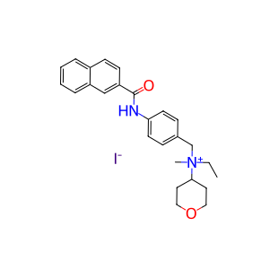 CC[N+](C)(Cc1ccc(NC(=O)c2ccc3ccccc3c2)cc1)C1CCOCC1.[I-]